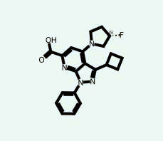 O=C(O)c1cc(N2CC[C@H](F)C2)c2c(C3CCC3)nn(-c3ccccc3)c2n1